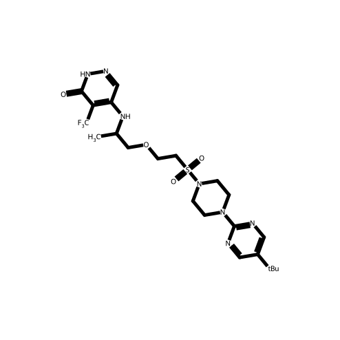 CC(COCCS(=O)(=O)N1CCN(c2ncc(C(C)(C)C)cn2)CC1)Nc1cn[nH]c(=O)c1C(F)(F)F